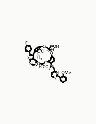 CCOC(=O)[C@H]1Cc2cc(ccc2OCc2ccnc(-c3ccccc3OC)n2)O[C@@H](CO)COc2ccc(c(C)c2Cl)-c2c(-c3ccc(F)cc3)sc3ncnc(c23)O1